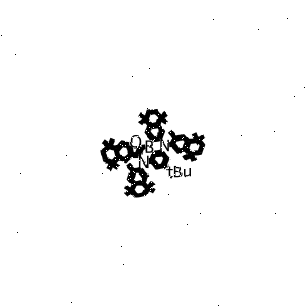 Cc1cc2c(cc1N1c3cc4c(cc3B3c5oc6c(c5N(c5cc7c(cc5C)C(C)(C)CCC7(C)C)c5cc(C(C)(C)C)cc1c53)CC1C(=C6)C(C)(C)CCC1(C)C)C(C)(C)CCC4(C)C)C(C)(C)CCC2(C)C